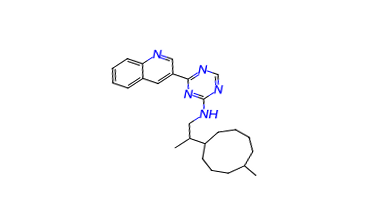 CC1CCCCC(C(C)CNc2ncnc(-c3cnc4ccccc4c3)n2)CCC1